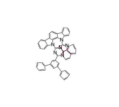 c1ccc(-c2cc(-c3ccccc3)cc(-c3nc(-c4ccccc4)nc(-n4c5ccccc5c5ccc6c7ccccc7n(-c7nc8ccccc8s7)c6c54)n3)c2)cc1